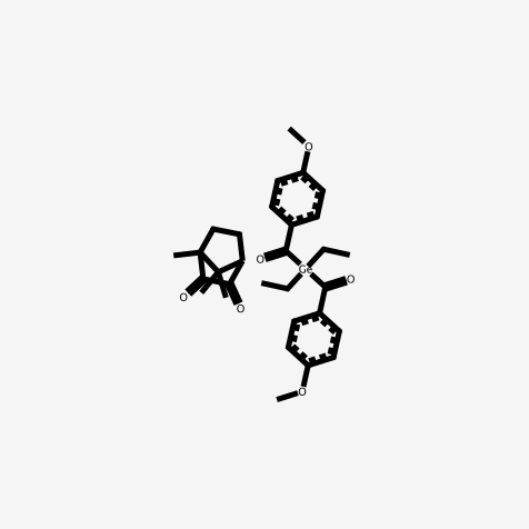 CC12CCC(C(=O)C1=O)C2(C)C.C[CH2][Ge]([CH2]C)([C](=O)c1ccc(OC)cc1)[C](=O)c1ccc(OC)cc1